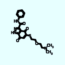 CN(C)CCOCCSC1=CC(=O)c2[nH]nc(C(=O)Nc3ccccc3)c2C1=O